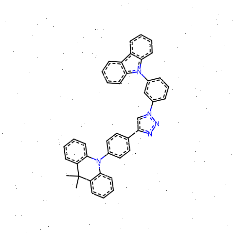 CC1(C)c2ccccc2N(c2ccc(-c3cn(-c4cccc(-n5c6ccccc6c6ccccc65)c4)nn3)cc2)c2ccccc21